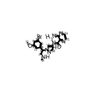 CNCC(c1cc(Br)cc(OC)c1)n1cc(NC(=O)c2nccnc2N)cn1